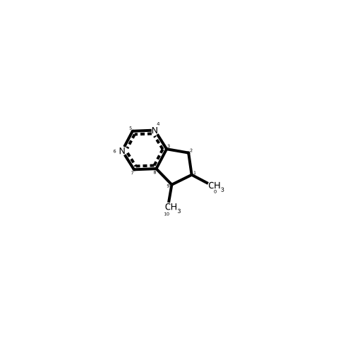 CC1Cc2ncncc2C1C